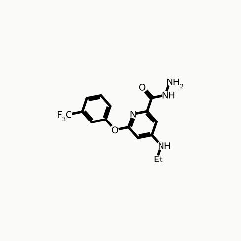 CCNc1cc(Oc2cccc(C(F)(F)F)c2)nc(C(=O)NN)c1